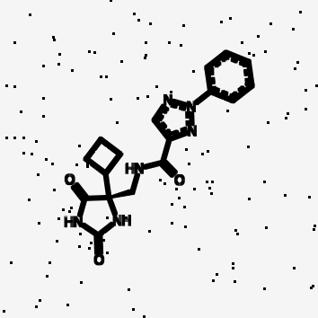 O=C1NC(=O)[C@](CNC(=O)c2cnn(-c3ccccc3)n2)(C2CCC2)N1